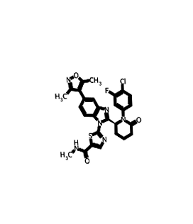 CNC(=O)c1cnc(-n2c([C@@H]3CCCC(=O)N3c3ccc(Cl)c(F)c3)nc3cc(-c4c(C)noc4C)ccc32)s1